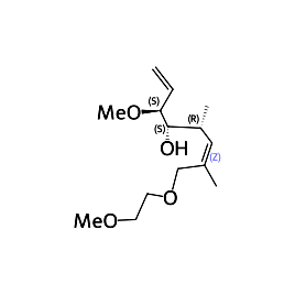 C=C[C@H](OC)[C@@H](O)[C@H](C)/C=C(/C)COCCOC